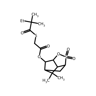 CCC(C)(C)C(=O)SCC(=O)OC1C2OS(=O)(=O)C3CC1C(C)(C)C23